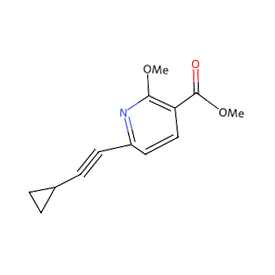 COC(=O)c1ccc(C#CC2CC2)nc1OC